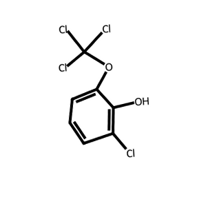 Oc1c(Cl)cccc1OC(Cl)(Cl)Cl